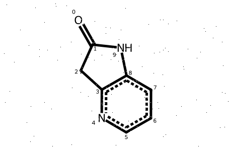 O=C1[CH]c2ncccc2N1